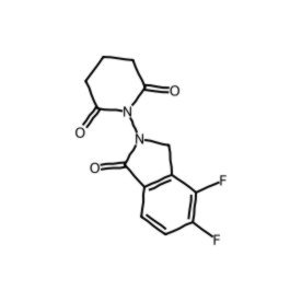 O=C1c2ccc(F)c(F)c2CN1N1C(=O)CCCC1=O